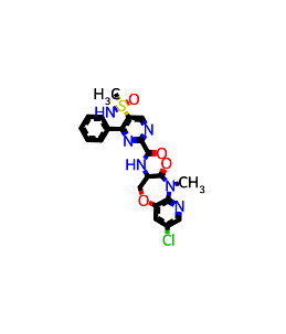 CN1C(=O)C(NC(=O)c2ncc(S(C)(=N)=O)c(-c3ccccc3)n2)COc2cc(Cl)cnc21